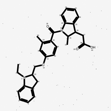 CCN1c2ccccc2CC1COc1ccc(C(=O)N2c3ccccc3C(CC(=O)O)C2C)c(C)c1